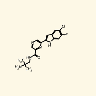 CC(C)(N)CNC(=O)c1cncc(-c2cc3cc(Cl)c(F)cc3[nH]2)n1